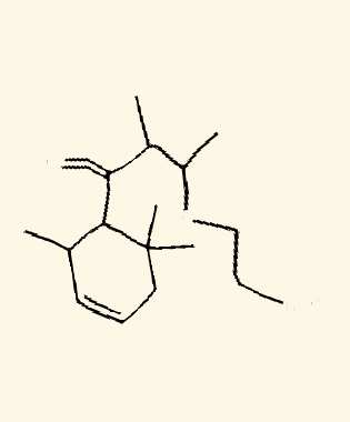 CCCCCCCCCCCCSC(C)C(C)C(=O)C1C(C)C=CCC1(C)C